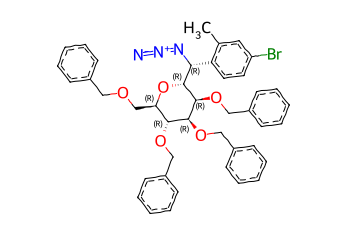 Cc1cc(Br)ccc1[C@@H](N=[N+]=[N-])[C@H]1O[C@H](COCc2ccccc2)[C@@H](OCc2ccccc2)[C@H](OCc2ccccc2)[C@@H]1OCc1ccccc1